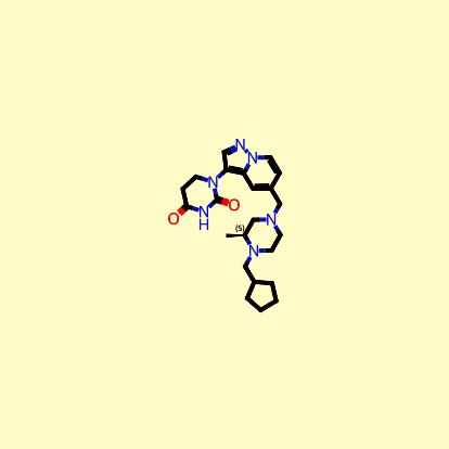 C[C@H]1CN(Cc2ccn3ncc(N4CCC(=O)NC4=O)c3c2)CCN1CC1CCCC1